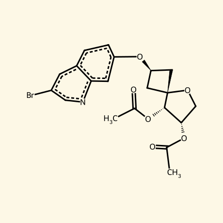 CC(=O)O[C@H]1CO[C@]2(C[C@H](Oc3ccc4cc(Br)cnc4c3)C2)[C@H]1OC(C)=O